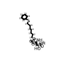 NC(=CP(=O)(O)O)P(=O)(O)OCCCCCCCSc1ccccc1